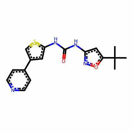 CC(C)(C)c1cc(NC(=O)Nc2cc(-c3ccncc3)cs2)no1